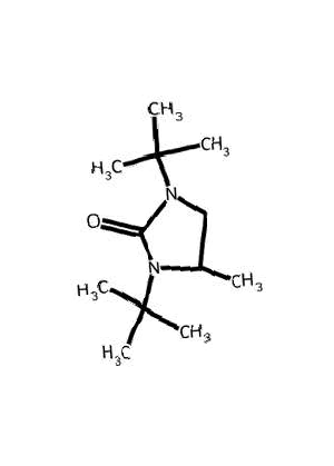 CC1CN(C(C)(C)C)C(=O)N1C(C)(C)C